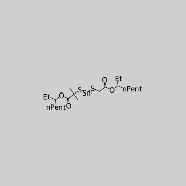 CCCCCC(CC)OC(=O)C[S][Sn][S]C(C)(C)C(=O)OC(CC)CCCCC